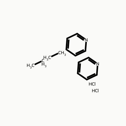 CC.CC.Cl.Cl.c1ccncc1.c1ccncc1